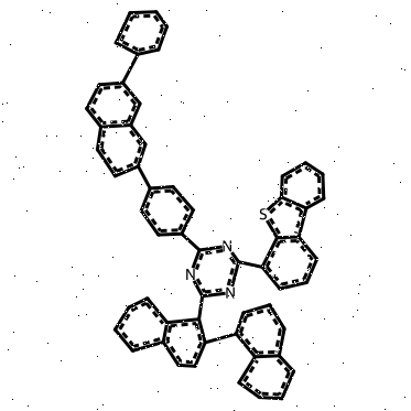 c1ccc(-c2ccc3ccc(-c4ccc(-c5nc(-c6c(-c7cccc8ccccc78)ccc7ccccc67)nc(-c6cccc7c6sc6ccccc67)n5)cc4)cc3c2)cc1